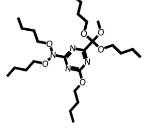 CCCCOc1nc(N(OCCCC)OCCCC)nc(C(OC)(OCCCC)OCCCC)n1